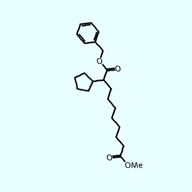 COC(=O)CCCCCCCC(C(=O)OCc1ccccc1)C1CCCC1